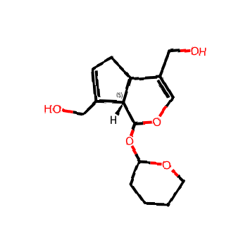 OCC1=COC(OC2CCCCO2)[C@@H]2C(CO)=CCC12